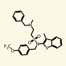 Cc1c(N(Cc2ccc(OC(F)(F)F)cc2)S(=O)(=O)CCN(C)Cc2ccccc2)sc2ccccc12